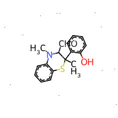 CN1c2ccccc2SC(C)(c2ccccc2O)C1C=O